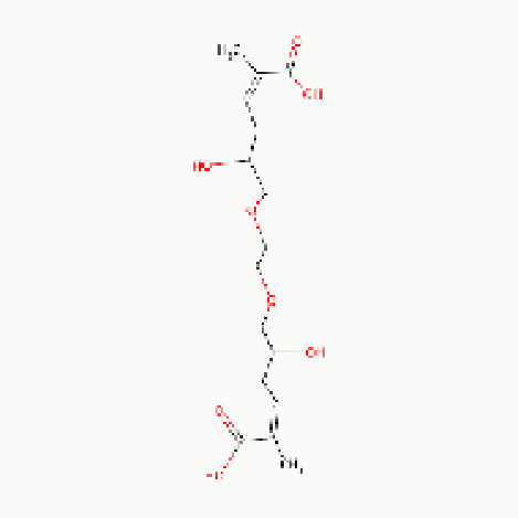 CC(=CCC(O)COCCOCC(O)CC=C(C)C(=O)O)C(=O)O